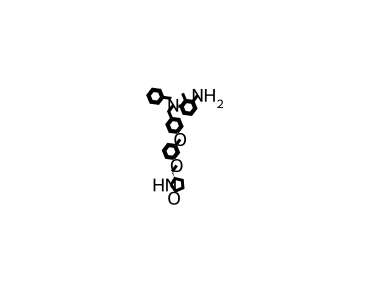 Cc1c(N)cccc1N(Cc1ccccc1)Cc1ccc(Oc2cccc(OC[C@@H]3CCC(=O)N3)c2)cc1